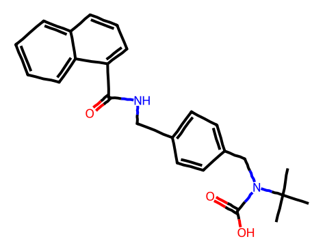 CC(C)(C)N(Cc1ccc(CNC(=O)c2cccc3ccccc23)cc1)C(=O)O